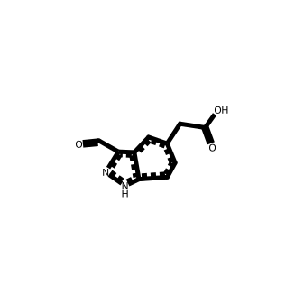 O=Cc1n[nH]c2ccc(CC(=O)O)cc12